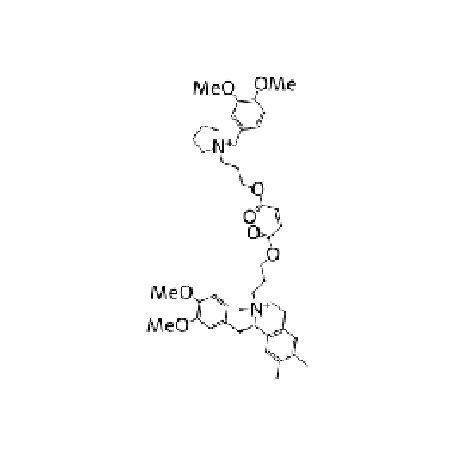 COc1ccc(C[C@@H]2c3cc(C)c(C)cc3CC[N@@+]2(C)CCCOC(=O)/C=C\C(=O)OCCC[N+]2(Cc3ccc(OC)c(OC)c3)CCCC2)cc1OC